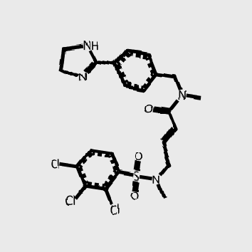 CN(Cc1ccc(C2=NCCN2)cc1)C(=O)/C=C/CN(C)S(=O)(=O)c1ccc(Cl)c(Cl)c1Cl